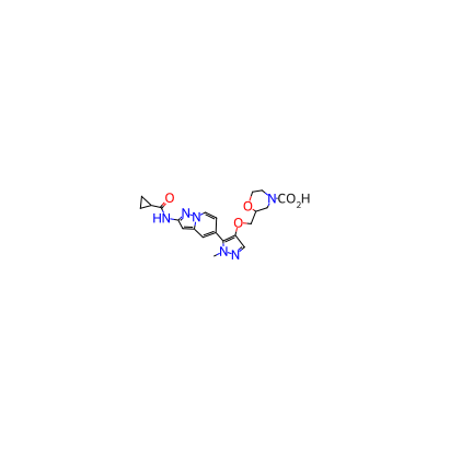 Cn1ncc(OCC2CN(C(=O)O)CCO2)c1-c1ccn2nc(NC(=O)C3CC3)cc2c1